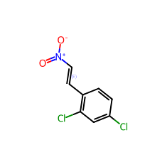 O=[N+]([O-])/C=C/c1ccc(Cl)cc1Cl